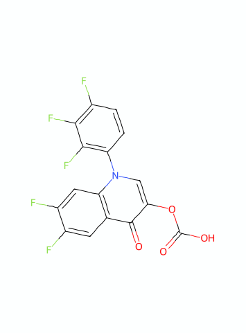 O=C(O)Oc1cn(-c2ccc(F)c(F)c2F)c2cc(F)c(F)cc2c1=O